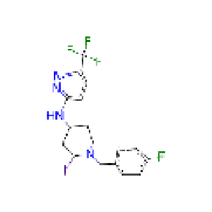 Fc1ccc(CN2CCC(Nc3ccc(C(F)(F)F)nn3)CC2I)cc1